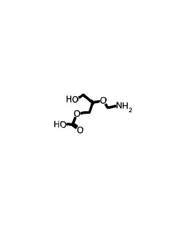 NCOC(CO)COC(=O)O